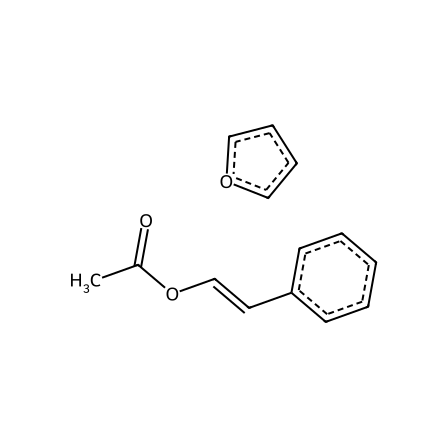 CC(=O)OC=Cc1ccccc1.c1ccoc1